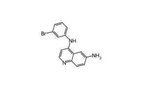 Nc1ccc2nccc(Nc3cccc(Br)c3)c2c1